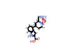 O=C(O)c1cc2c(C3=CC4=CNON4C=C3)cccc2[nH]1